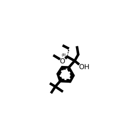 CC[C@@H](OC)C(O)(CC)c1ccc(C(C)(C)C)cc1